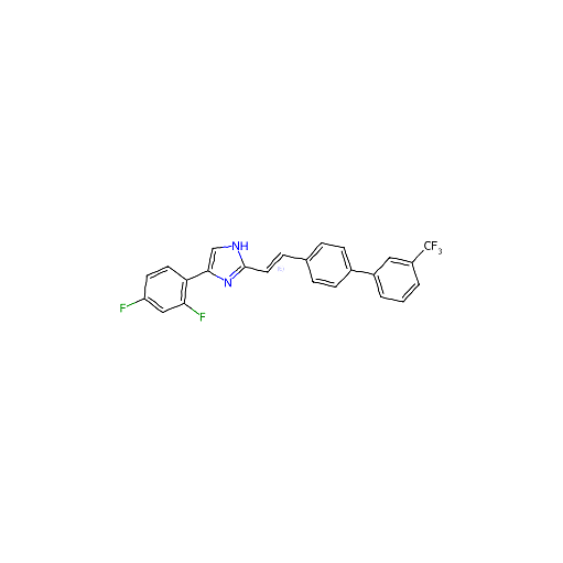 Fc1ccc(-c2c[nH]c(/C=C/c3ccc(-c4cccc(C(F)(F)F)c4)cc3)n2)c(F)c1